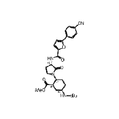 COC(=O)[C@@H]1C[C@H](NC(C)(C)C)CC[C@@H]1N1CC[C@H](NC(=O)c2ccc(-c3ccc(C#N)cc3)o2)C1=O